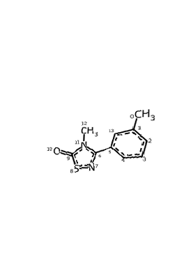 Cc1cccc(-c2nsc(=O)n2C)c1